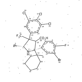 CC(C)[C@H]1N[C@](c2ccc(F)c(Br)c2)(C2(C)CCCCC2)C(C(=O)O)C1(c1cc(Cl)c(Cl)c(Cl)c1)C(F)(F)F